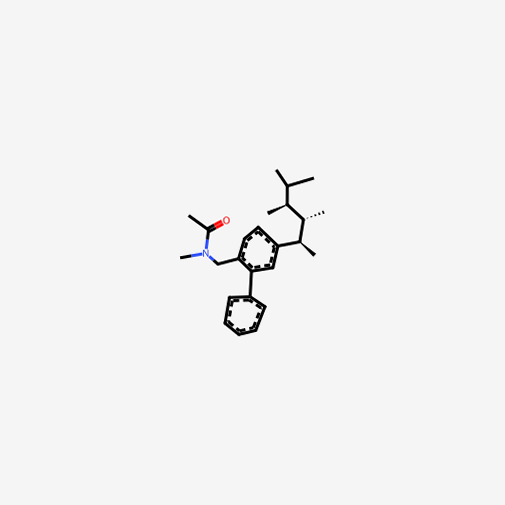 CC(=O)N(C)Cc1ccc([C@H](C)[C@@H](C)[C@@H](C)C(C)C)cc1-c1ccccc1